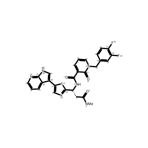 CNC(=O)C[C@@H](NC(=O)c1cccn(Cc2ccc(F)c(F)c2)c1=O)c1ncc(-c2c[nH]c3ncccc23)s1